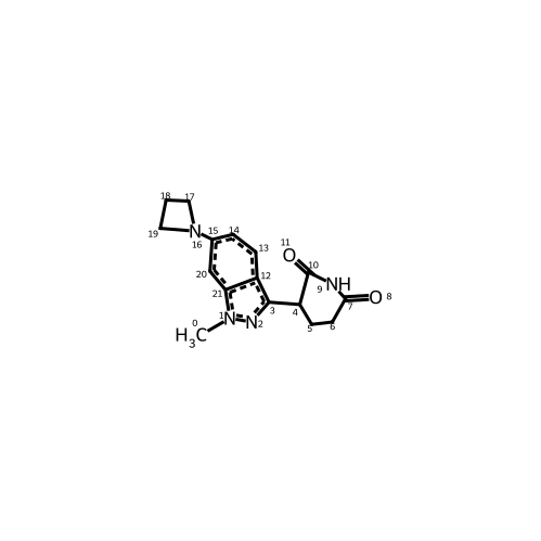 Cn1nc(C2CCC(=O)NC2=O)c2ccc(N3CCC3)cc21